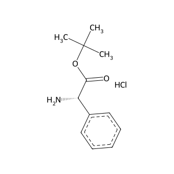 CC(C)(C)OC(=O)[C@@H](N)c1ccccc1.Cl